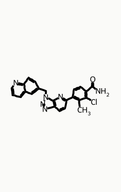 Cc1c(-c2ccc3nnn(Cc4ccc5ncccc5c4)c3n2)ccc(C(N)=O)c1Cl